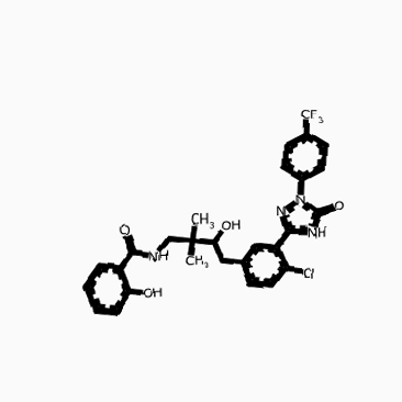 CC(C)(CNC(=O)c1ccccc1O)C(O)Cc1ccc(Cl)c(-c2nn(-c3ccc(C(F)(F)F)cc3)c(=O)[nH]2)c1